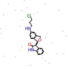 O=C1Nc2ccccc2C1=C1OCc2cc(NCCCCl)ccc21